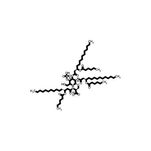 CCCCCCCCCCC[C@H](CC(=O)N[C@@H](CO[C@@H]1OC(CO)[C@@H](OP(=O)(O)O)C(OC(=O)C[C@@H](CCCCCCCCCCC)OC(=O)CCCCC)[C@@H]1NC(=O)C[C@@H](CCCCCCCCCCC)OC(=O)CCCCC)C(=O)O)OC(=O)CCCCC